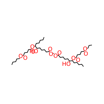 CCCCCOC(=O)CCCC(=O)OC(CCCCC)C(O)CCCCC(=O)OCOC(=O)CCCCC(O)C(CCCCC)OC(=O)CCCC(=O)OCCC